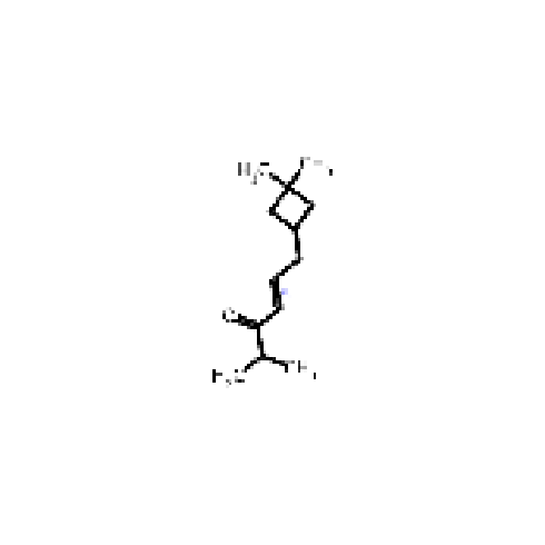 CC(C)C(=O)/C=C/CC1CC(C)(C)C1